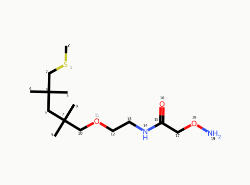 CSCC(C)(C)CC(C)(C)COCCNC(=O)CON